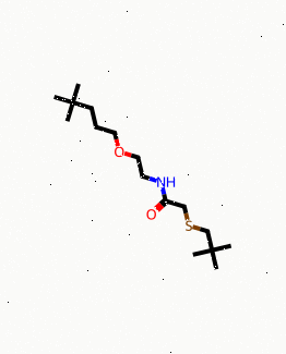 CC(C)(C)CCCOCCNC(=O)CSCC(C)(C)C